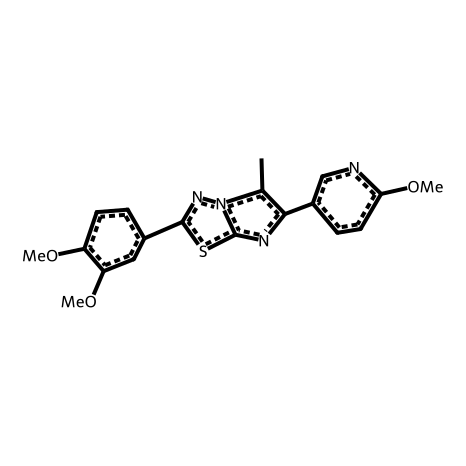 COc1ccc(-c2nc3sc(-c4ccc(OC)c(OC)c4)nn3c2C)cn1